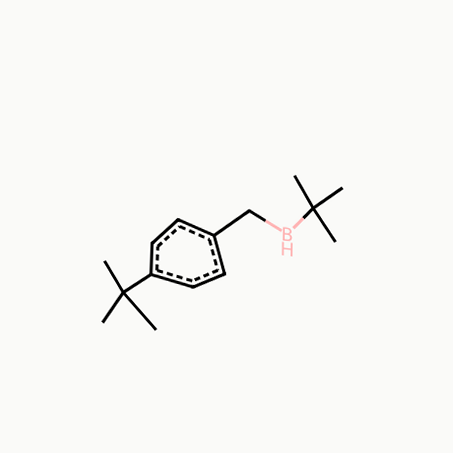 CC(C)(C)BCc1ccc(C(C)(C)C)cc1